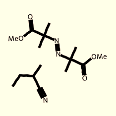 CCC(C)C#N.COC(=O)C(C)(C)N=NC(C)(C)C(=O)OC